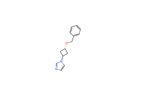 c1ccc(CO[C@H]2C[C@H](n3ccnc3)C2)cc1